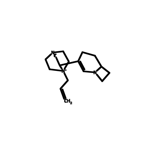 C=CC[N+]12CCN(CC1)CC2C1=CN2CCC2CC1